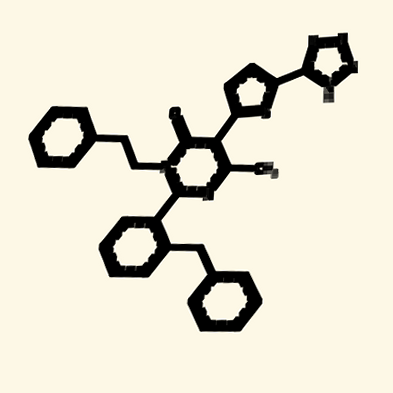 Cc1nc(-c2ccccc2Cc2ccccc2)n(CCc2ccccc2)c(=O)c1-c1ccc(-c2nnn[nH]2)s1